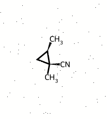 C[C@@H]1C[C@]1(C)C#N